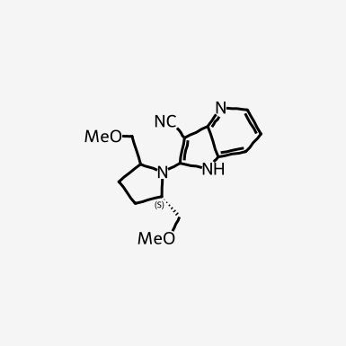 COCC1CC[C@@H](COC)N1c1[nH]c2cccnc2c1C#N